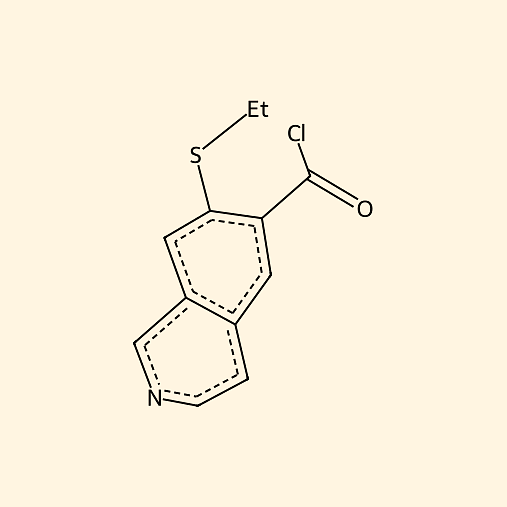 CCSc1cc2cnccc2cc1C(=O)Cl